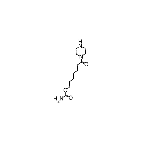 NC(=O)OCCCCCCC(=O)N1CCNCC1